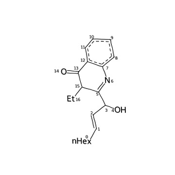 CCCCCCC=CC(O)C1=Nc2ccccc2C(=O)C1CC